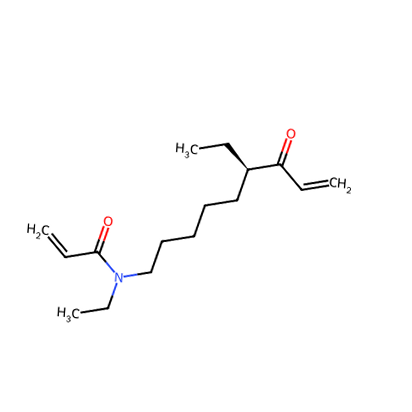 C=CC(=O)[C@H](CC)CCCCCN(CC)C(=O)C=C